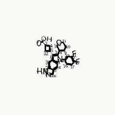 O=C(O)[C@H]1C[C@H](c2c(C3CCCOC3)n(-c3ccc(F)c(F)c3)c3cc4cn[nH]c4cc32)C1